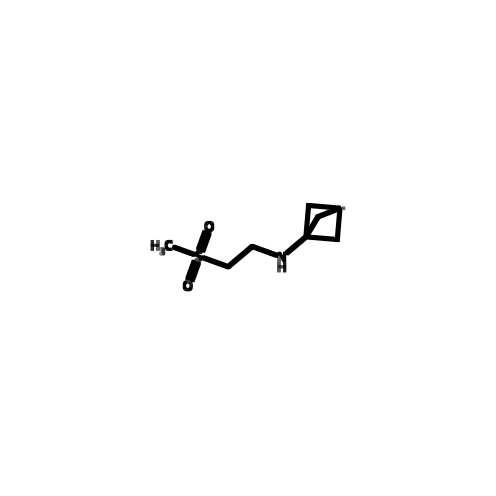 CS(=O)(=O)CCNC12C[C](C1)C2